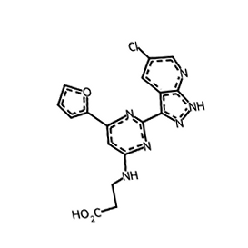 O=C(O)CCNc1cc(-c2ccco2)nc(-c2n[nH]c3ncc(Cl)cc23)n1